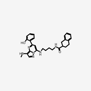 CBc1cnn2c(NCCCCNC(=O)C3CCc4ccccc4C3)cc(-c3ccccc3O)nc12